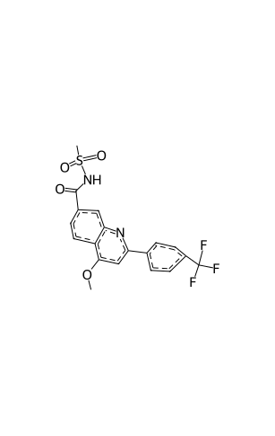 COc1cc(-c2ccc(C(F)(F)F)cc2)nc2cc(C(=O)NS(C)(=O)=O)ccc12